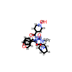 CC(C)N1C(=O)N(CC2CCOCC2)CC12CC1CCC(C2)N1CC[C@H](NC(=O)C1CCN(O)CC1)c1ccccc1